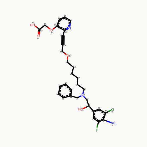 Nc1c(Cl)cc(C(O)CN(CCCCCCOCC#Cc2ncccc2OCC(=O)O)Cc2ccccc2)cc1Cl